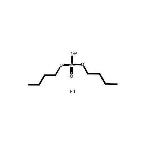 CCCCOP(=O)(O)OCCCC.[Pd]